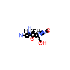 CC1(C)c2cc(N3CCN(C4COC4)CC3)c(CCCO)cc2C(=O)c2c1[nH]c1cc(C#N)ccc21